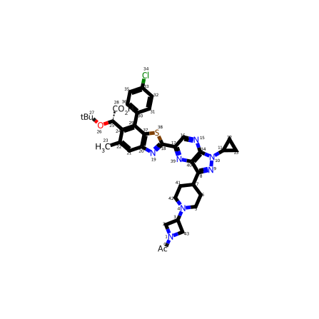 CC(=O)N1CC(N2CCC(c3nn(C4CC4)c4ncc(-c5nc6cc(C)c([C@H](OC(C)(C)C)C(=O)O)c(-c7ccc(Cl)cc7)c6s5)nc34)CC2)C1